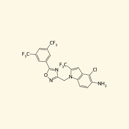 Nc1ccc2c(cc(C(F)(F)F)n2Cc2noc(-c3cc(C(F)(F)F)cc(C(F)(F)F)c3)n2)c1Cl